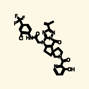 C=C(C)c1nc2n(CC(=O)Nc3ccc(C(F)(F)F)cc3Cl)c3c(c(=O)n2n1)C1(CC3)CCN(C(=O)c2ncccc2O)C1